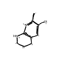 CCc1cc2c(nc1C)NCCC2